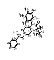 [2H]c1c([2H])c([2H])c(N(C(=O)C([2H])([2H])C([2H])([2H])[2H])C2CCN(CC(O)c3ccccc3)CC2)c([2H])c1[2H]